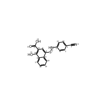 N#Cc1ccc(NSc2cc(C(=O)O)c(O)c3ccccc23)cc1